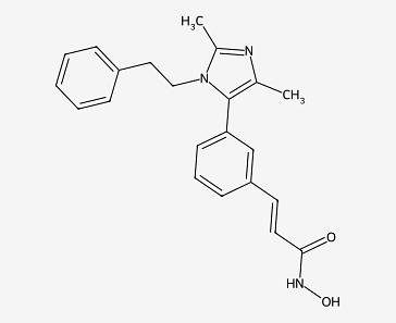 Cc1nc(C)n(CCc2ccccc2)c1-c1cccc(C=CC(=O)NO)c1